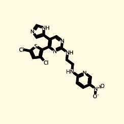 O=[N+]([O-])c1ccc(NCCNc2ncc(-c3cnc[nH]3)c(-c3sc(Cl)cc3Cl)n2)nc1